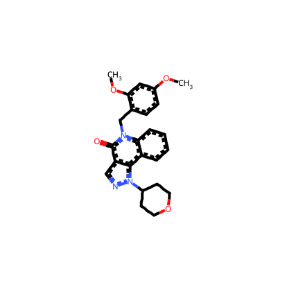 COc1ccc(Cn2c(=O)c3cnn(C4CCOCC4)c3c3ccccc32)c(OC)c1